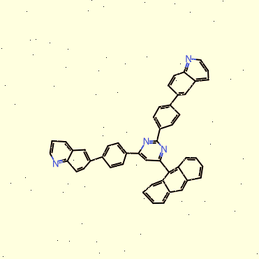 c1cnc2ccc(-c3ccc(-c4cc(-c5c6ccccc6cc6ccccc56)nc(-c5ccc(-c6ccc7ncccc7c6)cc5)n4)cc3)cc2c1